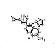 CC(=O)N1c2ccc(/C(C=N)=C/NC3CC3)c(Oc3nccs3)c2CC[C@@H]1C